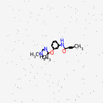 C=C(/N=C\N(C)C)Oc1cccc(NC(=O)C#CC)c1